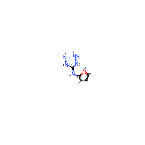 N=NC(N=N)=Nc1ccco1